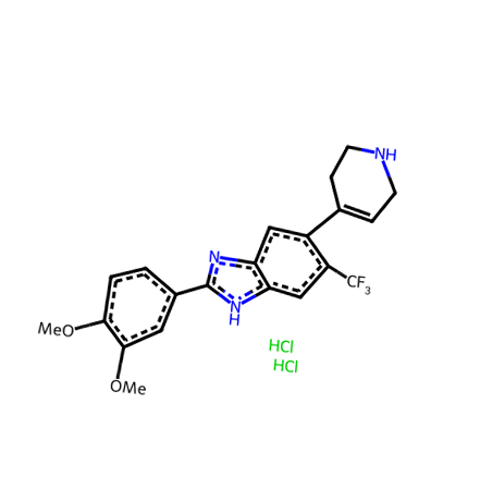 COc1ccc(-c2nc3cc(C4=CCNCC4)c(C(F)(F)F)cc3[nH]2)cc1OC.Cl.Cl